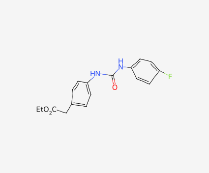 CCOC(=O)Cc1ccc(NC(=O)Nc2ccc(F)cc2)cc1